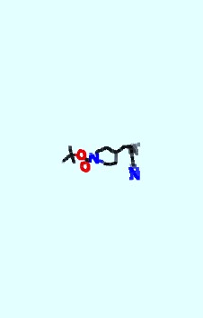 C[C@H](C#N)CC1CCN(C(=O)OC(C)(C)C)CC1